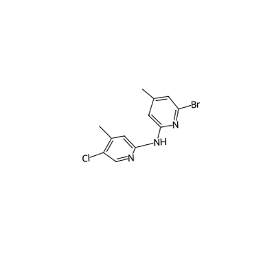 Cc1cc(Br)nc(Nc2cc(C)c(Cl)cn2)c1